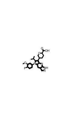 COc1cc(-n2c(C(C)C)c(C3CCC(C(=O)O)OC3)c3nc4[nH]ncc4cc32)ccc1F